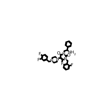 Cc1c(N2CCN(Cc3ccc(F)c(F)c3)CC2)c(=O)n(CC(N)c2ccccc2)c(=O)n1Cc1c(F)cccc1F